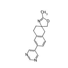 CC1=NC2(CCc3cc(-c4cncnc4)ccc3C2)CO1